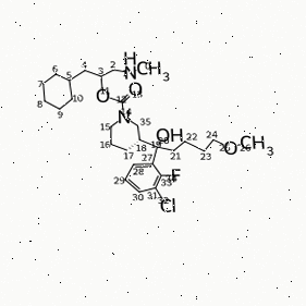 CNCC(CC1CCCCC1)OC(=O)N1CCC[C@@H]([C@@](O)(CCCCOC)c2cccc(Cl)c2F)C1